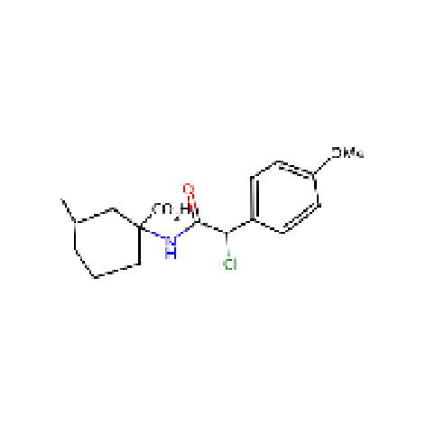 COc1ccc(C(Cl)C(=O)NC2(C(=O)O)CCCC(C)C2)cc1